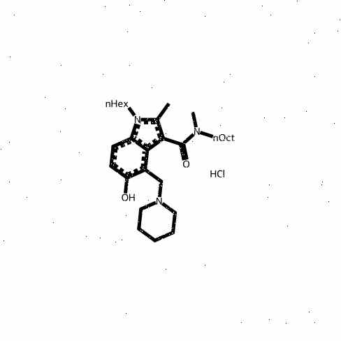 CCCCCCCCN(C)C(=O)c1c(C)n(CCCCCC)c2ccc(O)c(CN3CCCCC3)c12.Cl